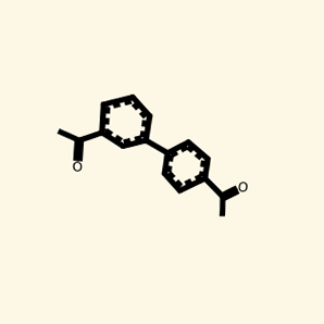 CC(=O)c1ccc(-c2cccc(C(C)=O)c2)cc1